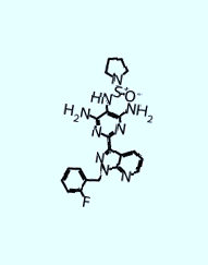 Nc1nc(-c2nn(Cc3ccccc3F)c3ncccc23)nc(N)c1N[S+]([O-])N1CCCC1